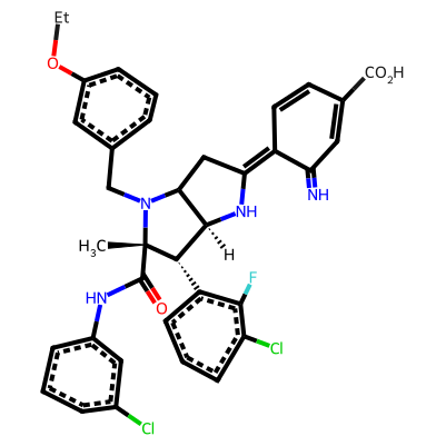 CCOc1cccc(CN2C3C/C(=C4\C=CC(C(=O)O)=CC4=N)N[C@H]3[C@H](c3cccc(Cl)c3F)[C@]2(C)C(=O)Nc2cccc(Cl)c2)c1